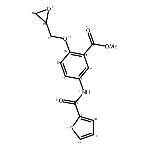 COC(=O)c1cc(NC(=O)c2cccs2)ccc1OCC1CO1